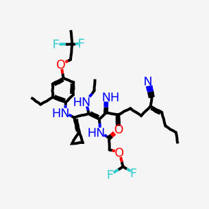 C=C(CC/C(C#N)=C\CCC)C(=N)/C(NC(=O)COC(F)F)=C(\NCC)C(Nc1ccc(OCC(C)(F)F)cc1CC)=C1CC1